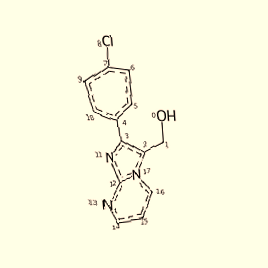 OCc1c(-c2ccc(Cl)cc2)nc2ncccn12